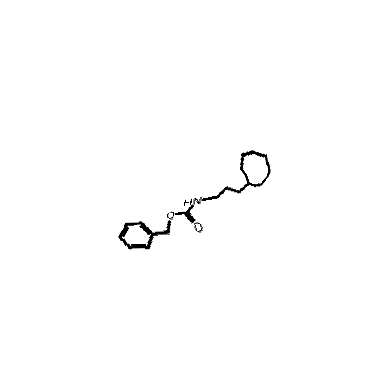 O=C(NCCCC1CCCCCC1)OCc1ccccc1